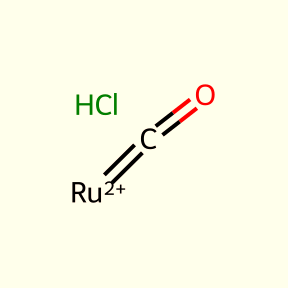 Cl.O=[C]=[Ru+2]